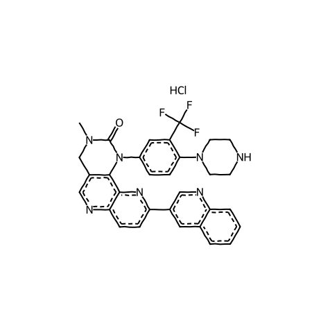 CN1Cc2cnc3ccc(-c4cnc5ccccc5c4)nc3c2N(c2ccc(N3CCNCC3)c(C(F)(F)F)c2)C1=O.Cl